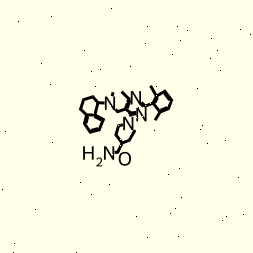 Cc1cccc(C)c1-c1nc(C)c(CN(C)C2CCCc3ccccc32)c(N2CCC(C(N)=O)CC2)n1